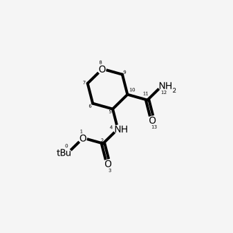 CC(C)(C)OC(=O)NC1CCOCC1C(N)=O